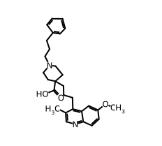 COc1ccc2ncc(C)c(CCCC3(C(=O)O)CCN(CCCc4ccccc4)CC3)c2c1